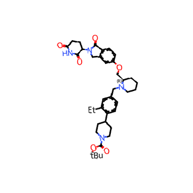 CCc1cc(CN2CCCC[C@@H]2COc2ccc3c(c2)CN(C2CCC(=O)NC2=O)C3=O)ccc1C1CCN(C(=O)OC(C)(C)C)CC1